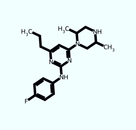 CCCc1cc(N2CC(C)NCC2C)nc(Nc2ccc(F)cc2)n1